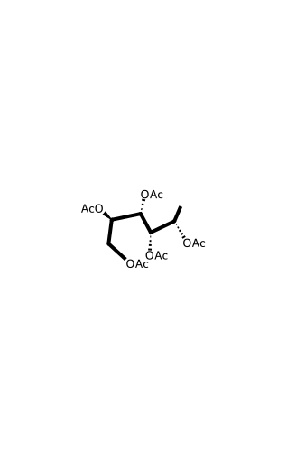 CC(=O)OC[C@@H](OC(C)=O)[C@H](OC(C)=O)[C@@H](OC(C)=O)[C@H](C)OC(C)=O